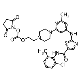 Cc1nc(Nc2ncc(C(=O)Nc3c(C)cccc3Cl)s2)cc(N2CCN(CCOC(=O)ON3C(=O)CCC3=O)CC2)n1